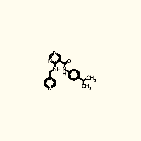 CC(C)c1ccc(NC(=O)c2cncnc2NCc2ccncc2)cc1